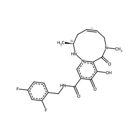 C[C@H]1C/C=C\CN(C)C(=O)c2c(O)c(=O)c(C(=O)NCc3ccc(F)cc3F)cn2N1